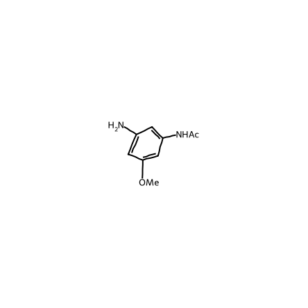 COc1cc(N)cc(NC(C)=O)c1